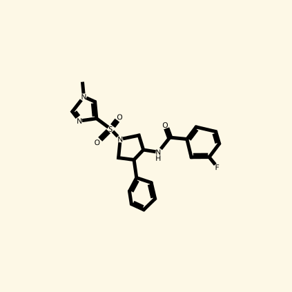 Cn1cnc(S(=O)(=O)N2CC(NC(=O)c3cccc(F)c3)C(c3ccccc3)C2)c1